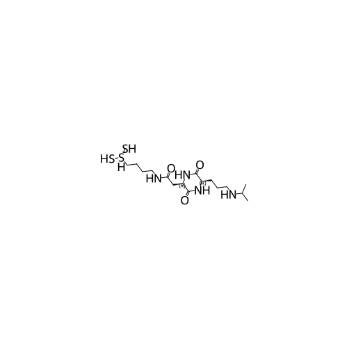 CC(C)NCCC[C@H]1NC(=O)[C@@H](CC(=O)NCCCC[SH](S)S)NC1=O